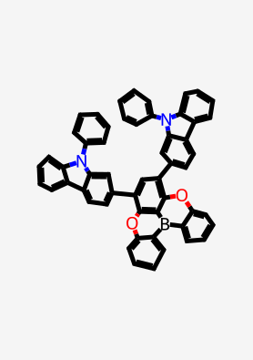 c1ccc(-n2c3ccccc3c3ccc(-c4cc(-c5ccc6c7ccccc7n(-c7ccccc7)c6c5)c5c6c4Oc4ccccc4B6c4ccccc4O5)cc32)cc1